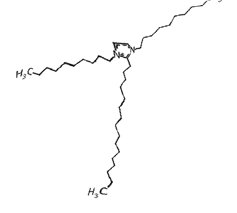 CCCCCCCCCCCCCCCCc1n(CCCCCCCCCC)cc[n+]1CCCCCCCCCC